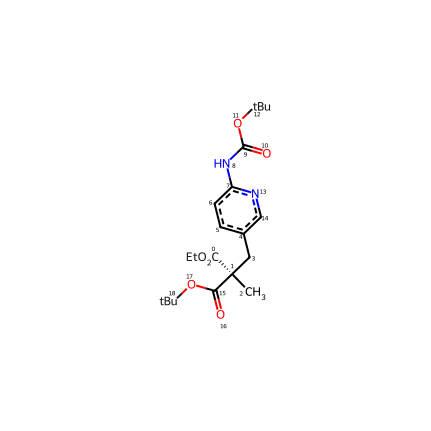 CCOC(=O)[C@@](C)(Cc1ccc(NC(=O)OC(C)(C)C)nc1)C(=O)OC(C)(C)C